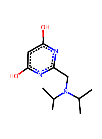 CC(C)N(Cc1nc(O)cc(O)n1)C(C)C